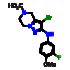 COc1ccc(Nc2nn3c(c2Br)CN(C(=O)O)CC3)cc1F